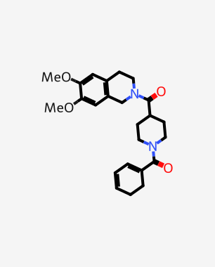 COc1cc2c(cc1OC)CN(C(=O)C1CCN(C(=O)C3=CC=CCC3)CC1)CC2